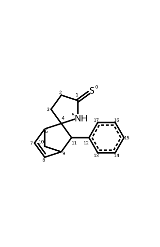 S=C1CCC2(N1)C1C=CC(C1)C2c1ccccc1